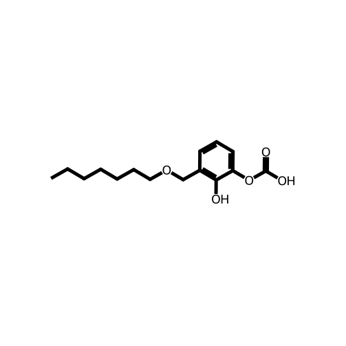 CCCCCCCOCc1cccc(OC(=O)O)c1O